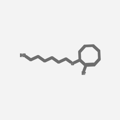 OCCCCCCOC1CCCCCC=C1Br